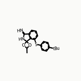 CC1OC2(NC(=N)c3cccc(Sc4ccc(C(C)(C)C)cc4)c32)O1